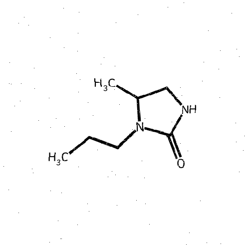 CCCN1C(=O)NCC1C